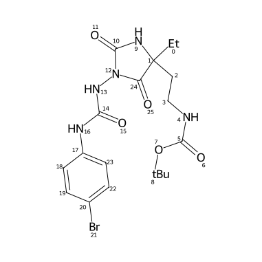 CCC1(CCNC(=O)OC(C)(C)C)NC(=O)N(NC(=O)Nc2ccc(Br)cc2)C1=O